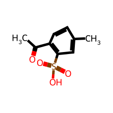 CC(=O)c1ccc(C)cc1S(=O)(=O)O